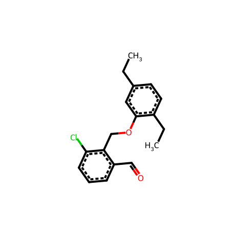 CCc1ccc(CC)c(OCc2c(Cl)cccc2C=O)c1